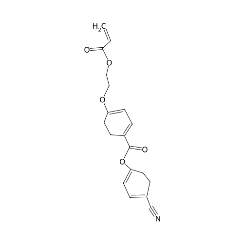 C=CC(=O)OCCOC1=CC=C(C(=O)OC2=CC=C(C#N)CC2)CC1